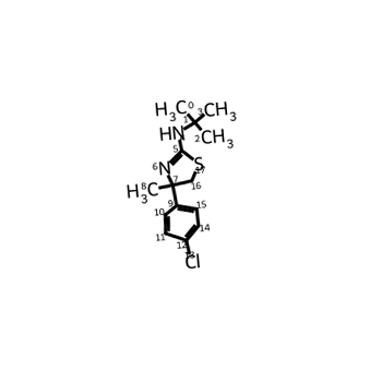 CC(C)(C)NC1=NC(C)(c2ccc(Cl)cc2)CS1